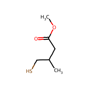 COC(=O)CC(C)CS